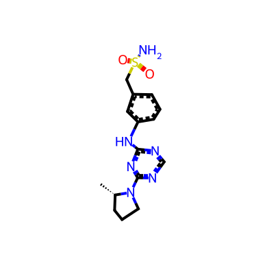 C[C@H]1CCCN1c1ncnc(Nc2cccc(CS(N)(=O)=O)c2)n1